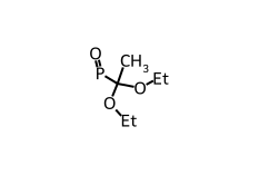 CCOC(C)(OCC)P=O